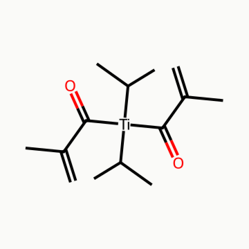 C=C(C)[C](=O)[Ti]([C](=O)C(=C)C)([CH](C)C)[CH](C)C